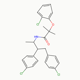 CC(NC(=O)C(C)(C)Oc1ccccc1Cl)C(Cc1ccc(Cl)cc1)c1ccc(Cl)cc1